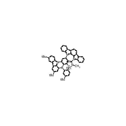 CN(C)C(=N)n1c2ccccc2c2ccc3c4ccccc4n(-c4cc5c6c(c4)-n4c7ccc(C(C)(C)C)cc7c7cc(C(C)(C)C)cc(c74)B6c4cc(C(C)(C)C)ccc4O5)c3c21